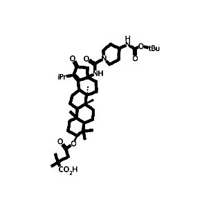 CC(C)C1=C2C3CCC4C5(C)CC[C@H](OC(=O)CC(C)(C)C(=O)O)C(C)(C)C5CC[C@@]4(C)[C@]3(C)CCC2(NC(=O)N2CCC(NC(=O)OC(C)(C)C)CC2)CC1=O